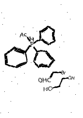 CC(=O)[PH](c1ccccc1)(c1ccccc1)c1ccccc1.O=CCBr.OCCO